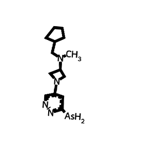 CN(CC1CCCC1)C1CN(c2cnnc([AsH2])c2)C1